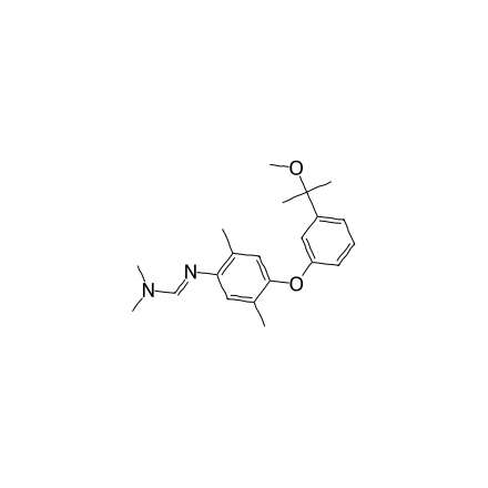 COC(C)(C)c1cccc(Oc2cc(C)c(N=CN(C)C)cc2C)c1